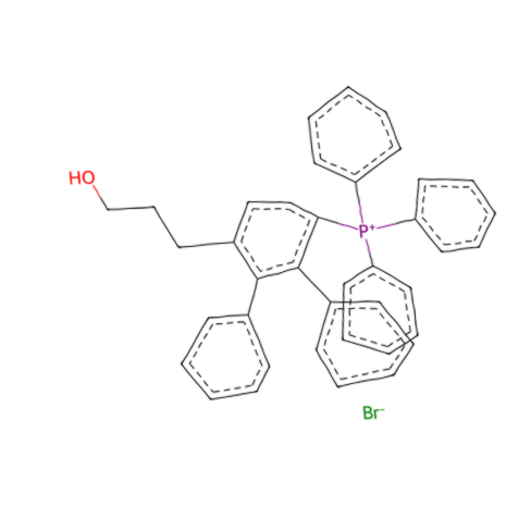 OCCCc1ccc([P+](c2ccccc2)(c2ccccc2)c2ccccc2)c(-c2ccccc2)c1-c1ccccc1.[Br-]